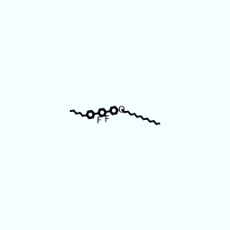 CCCCCCCCCCCCOc1ccc(-c2ccc(-c3ccc(CCCCC)cc3)c(F)c2F)cc1